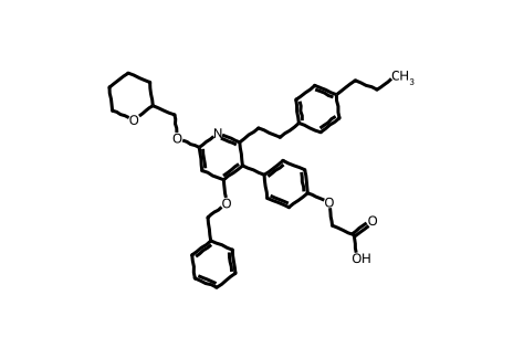 CCCc1ccc(CCc2nc(OCC3CCCCO3)cc(OCc3ccccc3)c2-c2ccc(OCC(=O)O)cc2)cc1